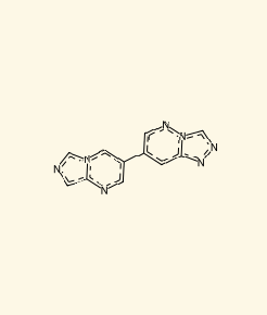 c1nc2cncn2cc1-c1cnn2cnnc2c1